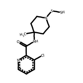 CC1(NC(=O)c2ncccc2Cl)CCN(SS)CC1